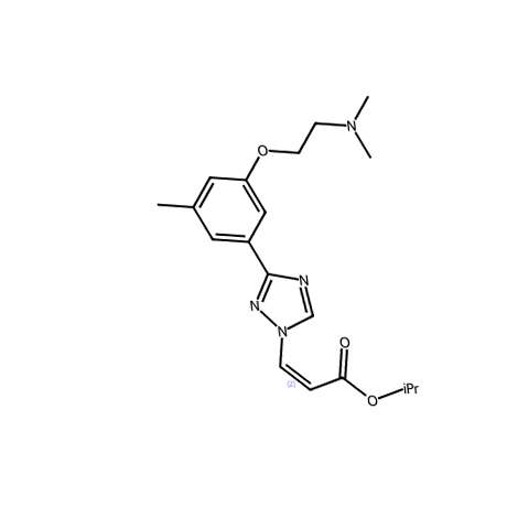 Cc1cc(OCCN(C)C)cc(-c2ncn(/C=C\C(=O)OC(C)C)n2)c1